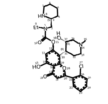 CCN(C[C@@H]1CCCCN1)C(=O)Oc1cc(O)c2c(=O)cc(-c3ccccc3Cl)oc2c1[C@H]1CCN(C)C[C@H]1O